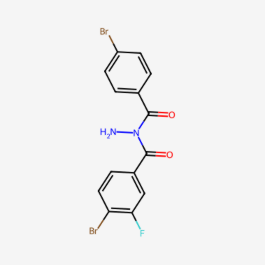 NN(C(=O)c1ccc(Br)cc1)C(=O)c1ccc(Br)c(F)c1